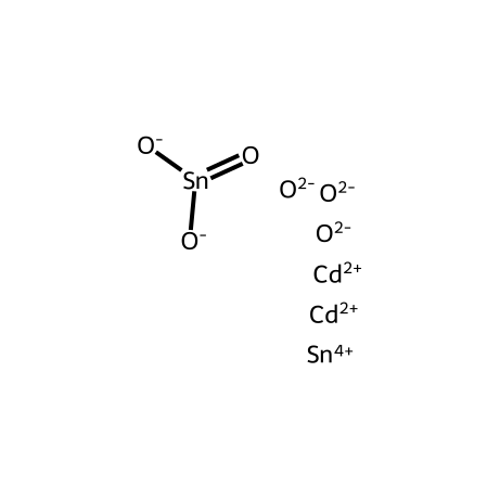 [Cd+2].[Cd+2].[O-2].[O-2].[O-2].[O]=[Sn]([O-])[O-].[Sn+4]